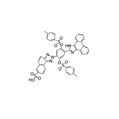 Cc1ccc(S(=O)(=O)Oc2cc(-n3nc4ccc5cc(S(=O)(=O)O)ccc5c4n3)c(OS(=O)(=O)c3ccc(C)cc3)cc2-c2nc3c4ccccc4c4ccccc4c3[nH]2)cc1